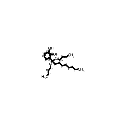 CCCCCCCCC(OCCCC)(OCCCC)c1cccc(O)c1O